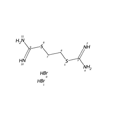 Br.Br.N=C(N)SCCSC(=N)N